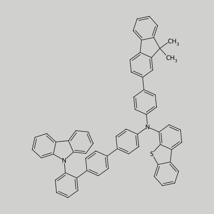 CC1(C)c2ccccc2-c2ccc(-c3ccc(N(c4ccc(-c5ccc(-c6ccccc6-n6c7ccccc7c7ccccc76)cc5)cc4)c4cccc5c4sc4ccccc45)cc3)cc21